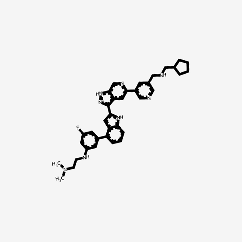 CN(C)CCNc1cc(F)cc(-c2cccc3[nH]c(-c4n[nH]c5cnc(-c6cncc(CNCC7CCCC7)c6)cc45)cc23)c1